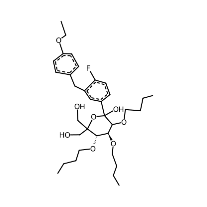 CCCCOC1[C@@H](OCCCC)[C@H](OCCCC)C(CO)(CO)OC1(O)c1ccc(F)c(Cc2ccc(OCC)cc2)c1